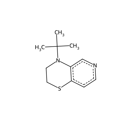 CC(C)(C)N1CCSc2ccncc21